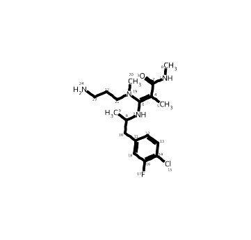 CNC(=O)/C(C)=C(/NC(C)Cc1ccc(Cl)c(F)c1)N(C)CCCN